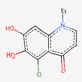 CCn1c[c]c(=O)c2c(Cl)c(O)c(O)cc21